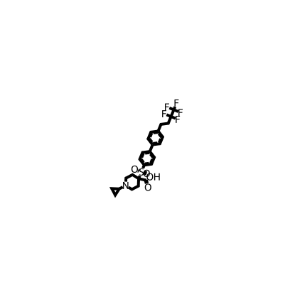 O=C(O)C1(S(=O)(=O)c2ccc(-c3ccc(CCC(F)(F)C(F)(F)F)cc3)cc2)CCN(C2CC2)CC1